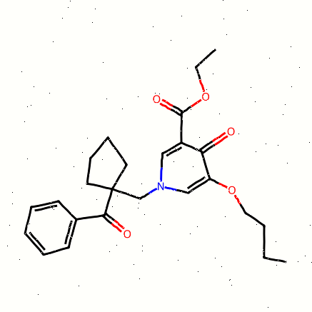 CCCCOc1cn(CC2(C(=O)c3ccccc3)CCCC2)cc(C(=O)OCC)c1=O